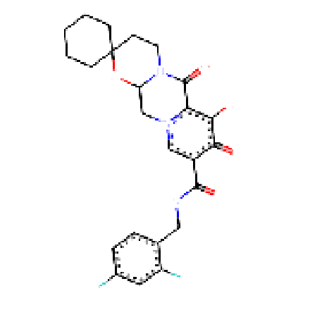 O=C(NCc1ccc(F)cc1F)c1cn2c(c(O)c1=O)C(=O)N1CCC3(CCCCC3)OC1C2